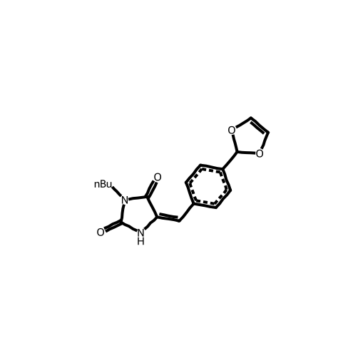 CCCCN1C(=O)NC(=Cc2ccc(C3OC=CO3)cc2)C1=O